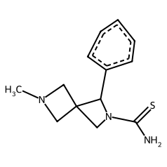 CN1CC2(C1)CN(C(N)=S)C2c1ccccc1